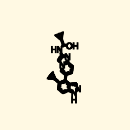 OC(Nc1cn2cc(-c3c(C4CC4)ccc4[nH]ncc34)ccc2n1)C1CC1